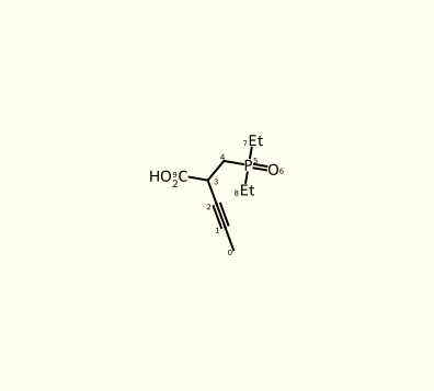 CC#CC(CP(=O)(CC)CC)C(=O)O